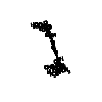 Cc1sc2c(c1C)C(c1ccc(Cl)cc1)=NC(CC(=O)NCCCOCCOCCOCCCNC(=O)COc1cccc3c1C(=O)N(C1CCC(O)NC1=O)C3=O)c1nnc(C)n1-2